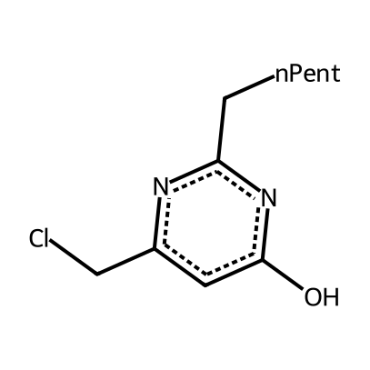 CCCCCCc1nc(O)cc(CCl)n1